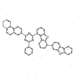 C1=Cc2c(ccc3cc(-c4nc(-c5ccccc5)nc(-c5cccc6oc7c(-c8ccc9c(c8)oc8ccccc89)cccc7c56)n4)ccc23)CC1